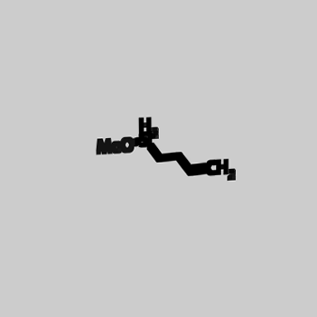 C=CCC[SiH2]OC